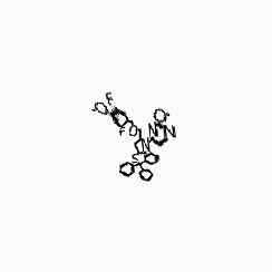 COc1nccc(N2CC(SC(c3ccccc3)(c3ccccc3)c3ccccc3)CC2COCc2cc(F)c(OC)cc2F)n1